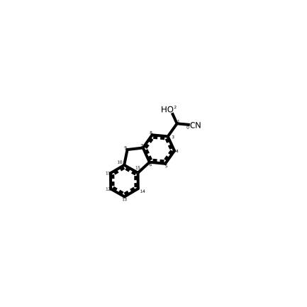 N#CC(O)c1ccc2c(c1)Cc1ccccc1-2